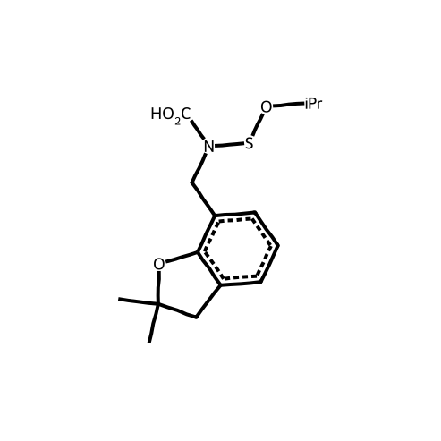 CC(C)OSN(Cc1cccc2c1OC(C)(C)C2)C(=O)O